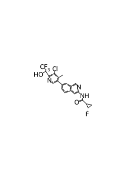 Cc1c(-c2ccc3cc(NC(=O)C4C[C@@H]4F)ncc3c2)cnc([C@@H](O)C(F)(F)F)c1Cl